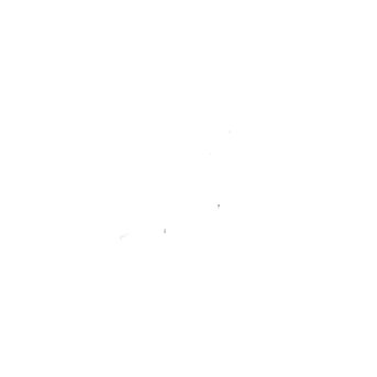 C=CCOC(C)CCOCC(C)OC1CCCCO1